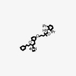 CC(C)c1cccc(C(C)C)c1NC(=O)C(C)(C)CCCOc1ccc2c(c1)C=C(c1nccn1C)C(CCc1ccccc1)O2